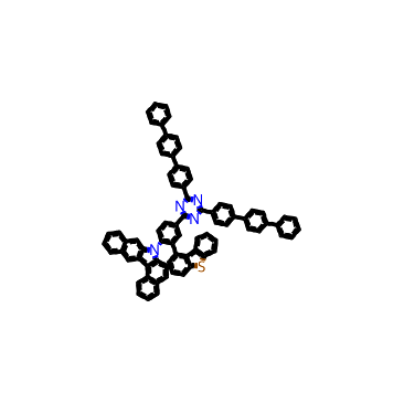 c1ccc(-c2ccc(-c3ccc(-c4nc(-c5ccc(-c6ccc(-c7ccccc7)cc6)cc5)nc(-c5ccc(-n6c7cc8ccccc8cc7c7c8ccccc8ccc76)c(-c6cccc7sc8ccccc8c67)c5)n4)cc3)cc2)cc1